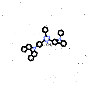 CN1C(c2ccc(-n3c4ccc5ccccc5c4c4c5ccccc5ccc43)cc2)=NC(c2ccccc2)=NC1c1ccc2c3ccccc3n(-c3ccccc3)c2c1